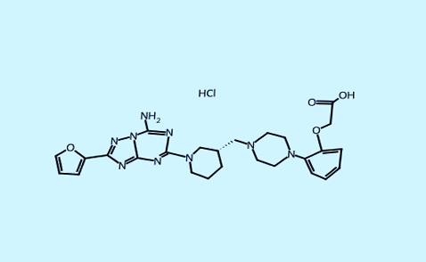 Cl.Nc1nc(N2CCC[C@@H](CN3CCN(c4ccccc4OCC(=O)O)CC3)C2)nc2nc(-c3ccco3)nn12